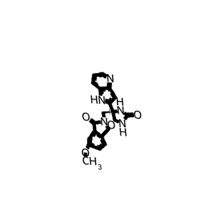 COc1ccc2c(c1)C(=O)N(C[C@@]1(c3cc4ncccc4[nH]3)NC(=O)NC1=O)C2